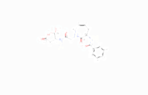 O=C(CN1CC=CCC(NC(=O)c2ccccc2)C1=O)NC1CC(=O)OC1O